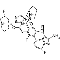 N#Cc1c(N)sc2c(F)ccc(-c3c(Cl)cc4c(N5CC6CCC(C5)N6C(=O)n5ccnc5)nc(OC[C@@]56CCCN5C[C@H](F)C6)nc4c3F)c12